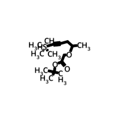 CC(CC#C[SH](C)(C)(C)C)OCC(=O)OC(C)(C)C